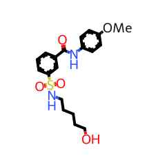 COc1ccc(NC(=O)c2cccc(S(=O)(=O)NCCCCCO)c2)cc1